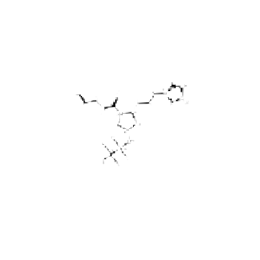 C=CCOC(=O)N1C[C@H](O[Si](C)(C)C(C)(C)C)C[C@H]1CCCn1ccnc1